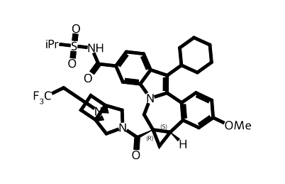 COc1ccc2c(c1)[C@@H]1C[C@]1(C(=O)N1CC34CCC3(CN(CC(F)(F)F)C4)C1)Cn1c-2c(C2CCCCC2)c2ccc(C(=O)NS(=O)(=O)C(C)C)cc21